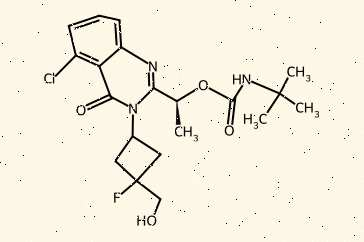 C[C@H](OC(=O)NC(C)(C)C)c1nc2cccc(Cl)c2c(=O)n1C1CC(F)(CO)C1